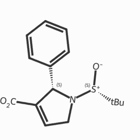 CCOC(=O)C1=CCN([S@+]([O-])C(C)(C)C)[C@H]1c1ccccc1